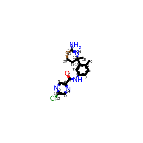 Cc1ccc(NC(=O)c2cnc(Cl)cn2)cc1C1(C)CCSC(N)=N1